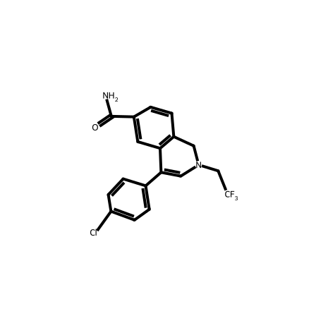 NC(=O)c1ccc2c(c1)C(c1ccc(Cl)cc1)=CN(CC(F)(F)F)C2